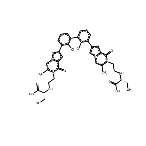 Cc1cn2nc(-c3cccc(-c4cccc(-c5cc6c(=O)n(CCN[C@H](CO)C(=O)O)c(C)cn6n5)c4Cl)c3Cl)cc2c(=O)n1CCN[C@H](CO)C(=O)O